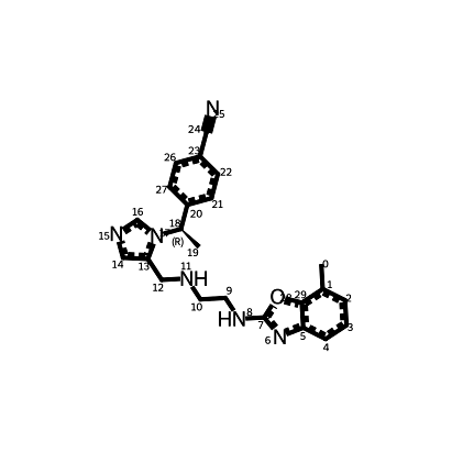 Cc1cccc2nc(NCCNCc3cncn3[C@H](C)c3ccc(C#N)cc3)oc12